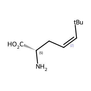 CC(C)(C)/C=C\C[C@H](N)C(=O)O